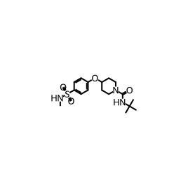 CNS(=O)(=O)c1ccc(OC2CCN(C(=O)NC(C)(C)C)CC2)cc1